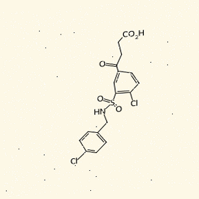 O=C(O)CCC(=O)c1ccc(Cl)c(S(=O)(=O)NCc2ccc(Cl)cc2)c1